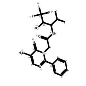 CC(C)C(NC(=O)Cn1c(-c2ccccc2)ncc(N)c1=O)C(O)C(F)(F)F